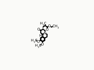 CCOC(=O)C(C)C[C@H]1CN2CCc3cc(OC)c(OC)cc3[C@@H]2CC1=O